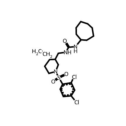 O=C(NCC1CCCN(S(=O)(=O)c2ccc(Cl)cc2Cl)C1)N[C]1CCCCCCC1.[CH2].[CH2]